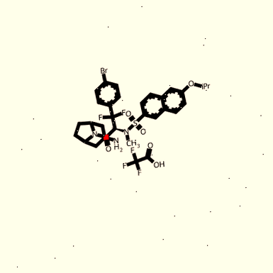 CC(C)Oc1ccc2cc(S(=O)(=O)N(C)[C@@H](C(=O)N3C4CCC3CC(N)C4)C(F)(F)c3ccc(Br)cc3)ccc2c1.O=C(O)C(F)(F)F